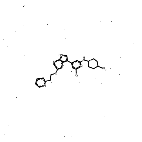 NC1CCC(Nc2cc(-c3c[nH]c4ncc(OCCc5ccccn5)cc34)cc(Cl)n2)CC1